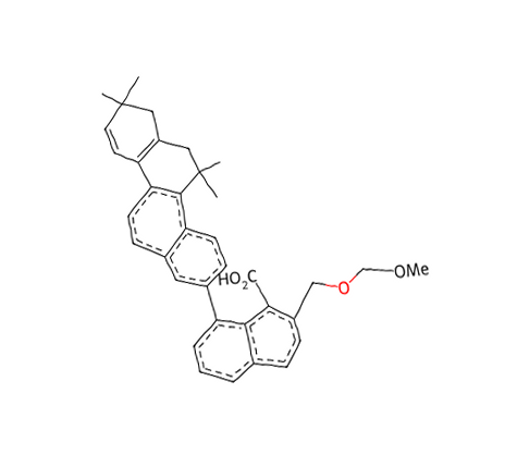 COCOCc1ccc2cccc(-c3ccc4c5c(ccc4c3)C3=C(CC(C)(C)C=C3)CC5(C)C)c2c1C(=O)O